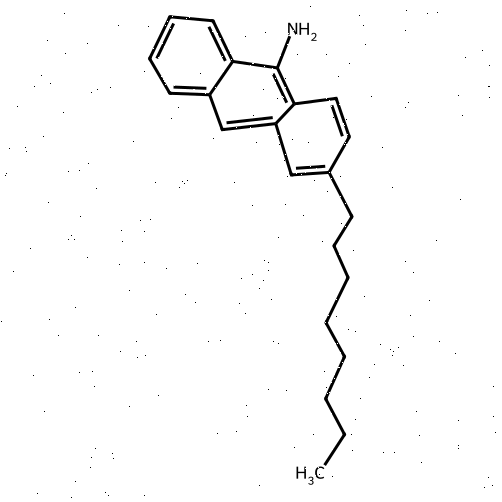 CCCCCCCCc1ccc2c(N)c3ccccc3cc2c1